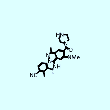 CNc1cc2c(N[C@H](C)c3cccc(C#N)c3C)nnc(C)c2cc1C(=O)N1CCNCC1